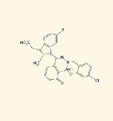 Cc1c(C2=NN(Cc3ccc(Cl)cc3)[SH+]([O-])C3=C2C=CCC3=O)c2cc(F)ccc2n1CC(=O)O